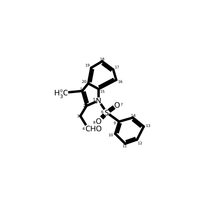 Cc1c(CC=O)n(S(=O)(=O)c2ccccc2)c2ccccc12